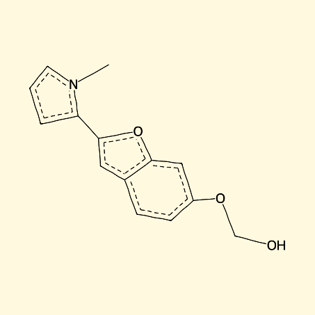 Cn1cccc1-c1cc2ccc(OCO)cc2o1